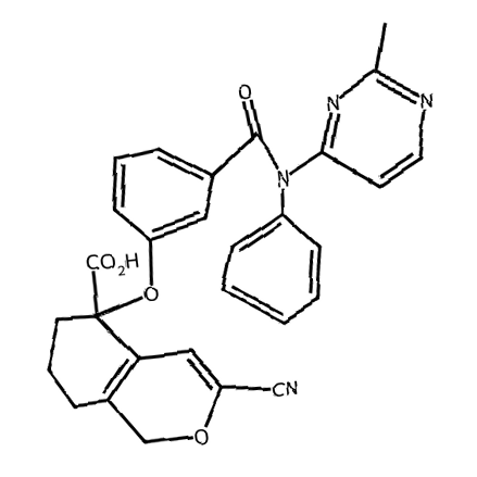 Cc1nccc(N(C(=O)c2cccc(OC3(C(=O)O)CCCC4=C3C=C(C#N)OC4)c2)c2ccccc2)n1